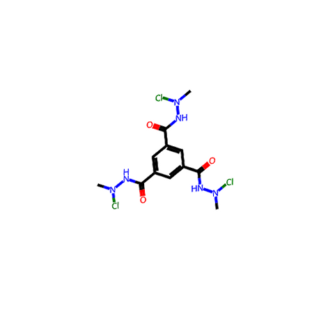 CN(Cl)NC(=O)c1cc(C(=O)NN(C)Cl)cc(C(=O)NN(C)Cl)c1